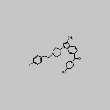 Cc1cn(C2CCN(CCc3ccc(F)cc3)CC2)c2cc(C(=O)N3CCC(O)CC3)ccc12